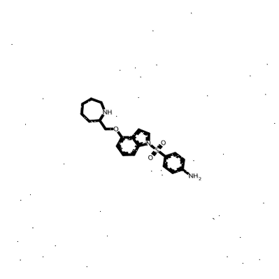 Nc1ccc(S(=O)(=O)n2ccc3c(OCC4CCCCCN4)cccc32)cc1